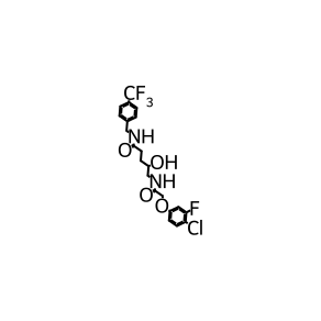 O=C(CCC(O)CNC(=O)COc1ccc(Cl)c(F)c1)NCc1ccc(C(F)(F)F)cc1